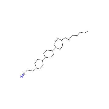 CCCCCCCC1CCC(C2CCC(C3CCC(CCC#N)CC3)CC2)CC1